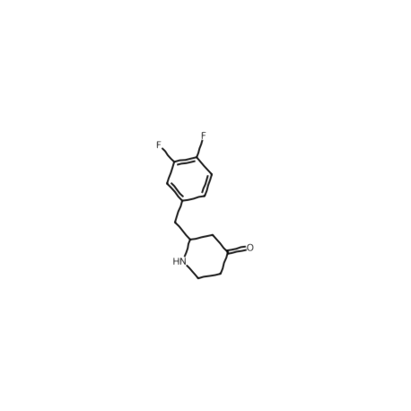 O=C1CCNC(Cc2ccc(F)c(F)c2)C1